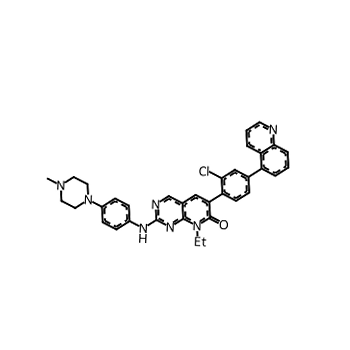 CCn1c(=O)c(-c2ccc(-c3cccc4ncccc34)cc2Cl)cc2cnc(Nc3ccc(N4CCN(C)CC4)cc3)nc21